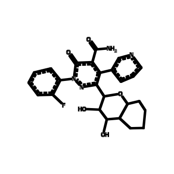 NC(=O)c1c(-c2cccnc2)c(C2OC3CCCCC3C(O)C2O)nn(-c2ccccc2F)c1=O